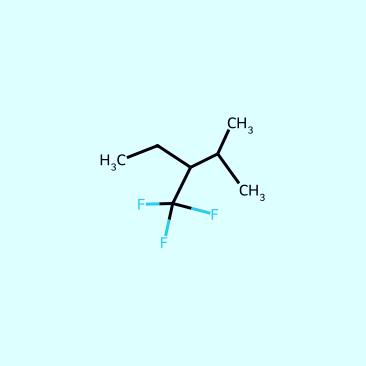 CCC(C(C)C)C(F)(F)F